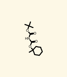 CC(C)(C)OC(=O)NC(=O)OC1(C)CCCCC1